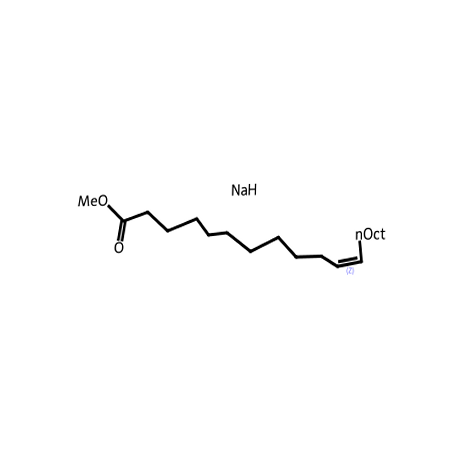 CCCCCCCC/C=C\CCCCCCCCCC(=O)OC.[NaH]